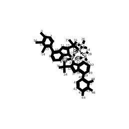 Cc1ccc(-c2cccc3c2C=C(C(C)(C)C)[CH]3[Zr]([Cl])([Cl])([BH]N([Si](C)(C)C)[Si](C)(C)C)[CH]2C(C(C)(C)C)=Cc3c(-c4ccc(C)c(C)c4C)cccc32)c(C)c1C